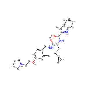 Cc1c(C(=O)NC(CCC2CC2)C(=O)NCC2=CC=C(OCCN3CCCC3)CC2C)[nH]c2ccccc12